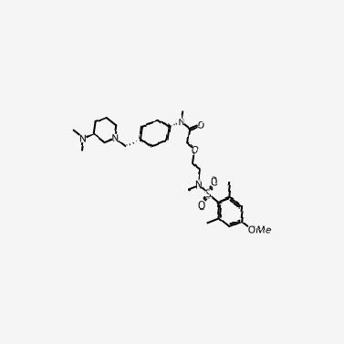 COc1cc(C)c(S(=O)(=O)N(C)CCOCC(=O)N(C)[C@H]2CC[C@@H](CN3CCC[C@H](N(C)C)C3)CC2)c(C)c1